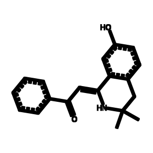 CC1(C)Cc2ccc(O)cc2C(=CC(=O)c2ccccc2)N1